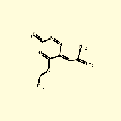 C=C/N=N\C(=C/C(=C)N)C(=O)OCC